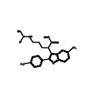 COC(=O)C(CCCN[S+]([O-])C(C)(C)C)c1c(-c2ccc(C)cc2)nc2ccc(C)cn12